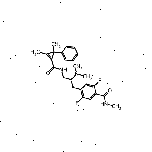 CNC(=O)c1cc(F)c(C[C@@H](CNC(=O)C2=C(C)C2(C)c2ccccc2)N(C)C)cc1F